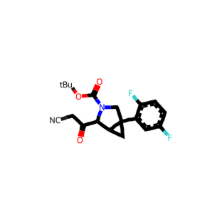 CC(C)(C)OC(=O)N1CC2(c3cc(F)ccc3F)CC2C1C(=O)CC#N